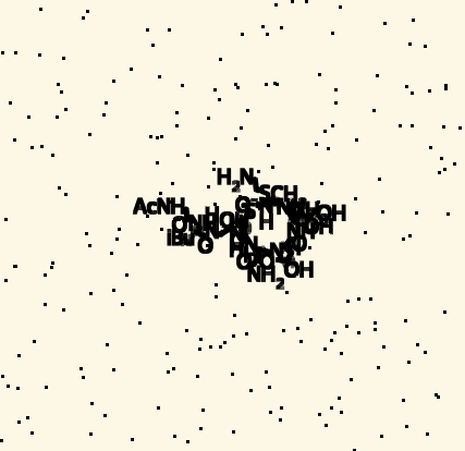 CC[C@H](C)[C@H](NC(=O)CNC(C)=O)C(=O)NCC(O)N[C@H]1C[S+]([O-])C2=C(SCCN)[C@@](C)(NC(=O)[C@H]([C@@H](C)[C@@H](O)CO)NC(=O)[C@@H]3C[C@@H](O)CN3C(=O)[C@H](CC(N)=O)NC1=O)N2